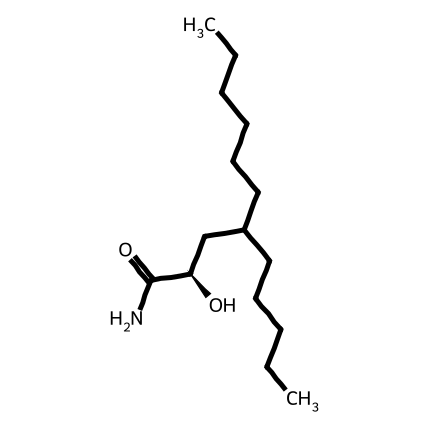 CCCCCCC(CCCCC)C[C@@H](O)C(N)=O